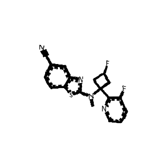 CN(c1nc2cc(C#N)ccc2s1)C1(c2ncccc2F)CC(F)C1